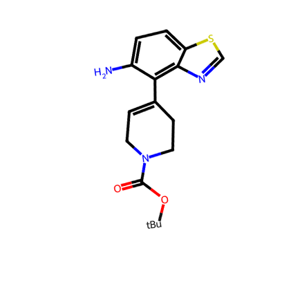 CC(C)(C)OC(=O)N1CC=C(c2c(N)ccc3scnc23)CC1